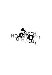 CC1(C)CC(=O)C(C)(C)c2nc(N(CC3CC3)c3ccc(C(=O)O)cn3)sc21